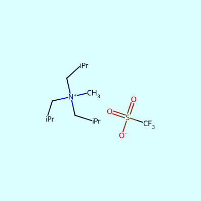 CC(C)C[N+](C)(CC(C)C)CC(C)C.O=S(=O)([O-])C(F)(F)F